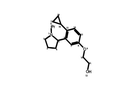 CC(C)N1CCCC1c1cc(OCCO)ccc1C1CC1